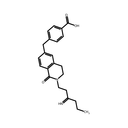 CCCC(=N)CCN1CCc2cc(Cc3ccc(C(=O)O)cc3)ccc2C1=O